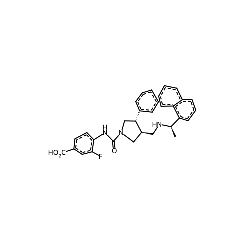 C[C@@H](NC[C@H]1CN(C(=O)Nc2ccc(C(=O)O)cc2F)C[C@@H]1c1ccccc1)c1cccc2ccccc12